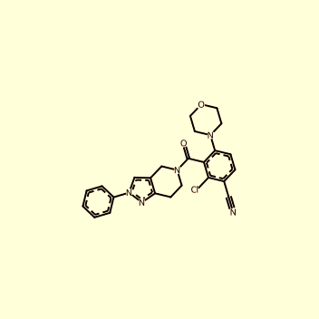 N#Cc1ccc(N2CCOCC2)c(C(=O)N2CCc3nn(-c4ccccc4)cc3C2)c1Cl